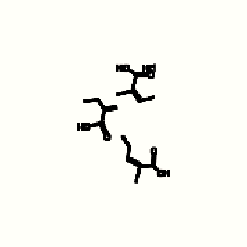 C=C(CC)C(=O)O.CC=C(C)C(=O)O.CCC=C(C)C(=O)O.Cl